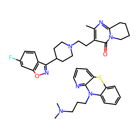 CN(C)CCCN1c2ccccc2Sc2cccnc21.Cc1nc2n(c(=O)c1CCN1CCC(c3noc4cc(F)ccc34)CC1)CCCC2